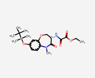 CCOC(=O)C(=O)N[C@H]1COc2cc(O[Si](C)(C)C(C)(C)C)ccc2N(C)C1=O